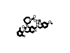 COc1ccc(CNc2cc3c(cn2)CN(c2c(C)cccc2F)C(=O)N3[C@H]2CCCCN(C(=O)O)C2)c(OC)c1